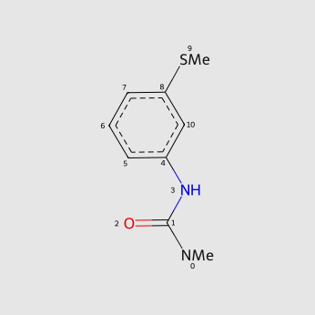 CNC(=O)Nc1cccc(SC)c1